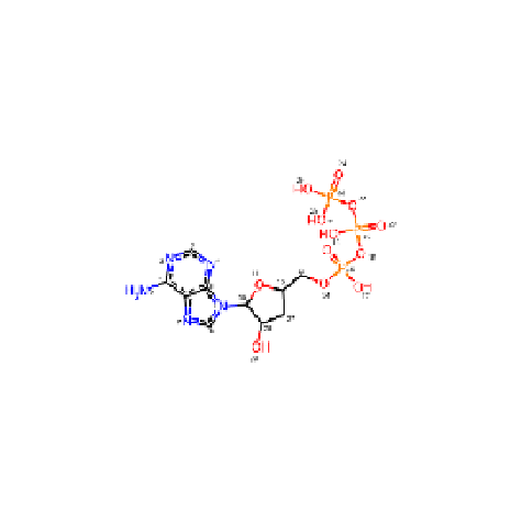 Nc1ncnc2c1ncn2C1OC(COP(=O)(O)OP(=O)(O)OP(=O)(O)O)CC1O